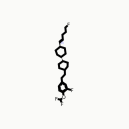 FCCC/C=C/[C@H]1CC[C@H](C2CCC(CCc3ccc(OC(F)F)c(F)c3)CC2)CC1